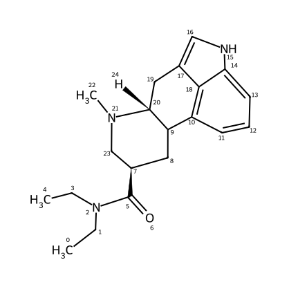 CCN(CC)C(=O)[C@@H]1CC2c3cccc4[nH]cc(c34)C[C@H]2N(C)C1